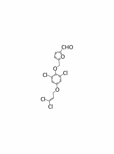 O=Cc1ccc(COc2c(Cl)cc(OCC=C(Cl)Cl)cc2Cl)o1